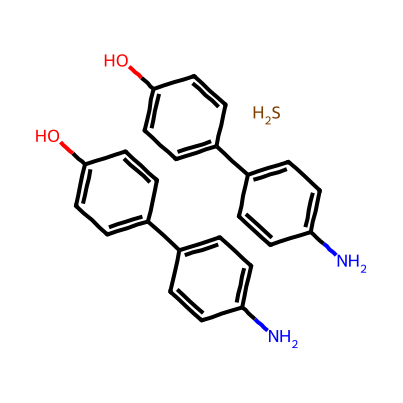 Nc1ccc(-c2ccc(O)cc2)cc1.Nc1ccc(-c2ccc(O)cc2)cc1.S